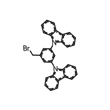 BrCc1cc(-n2c3ccccc3c3ccccc32)cc(-n2c3ccccc3c3ccccc32)c1